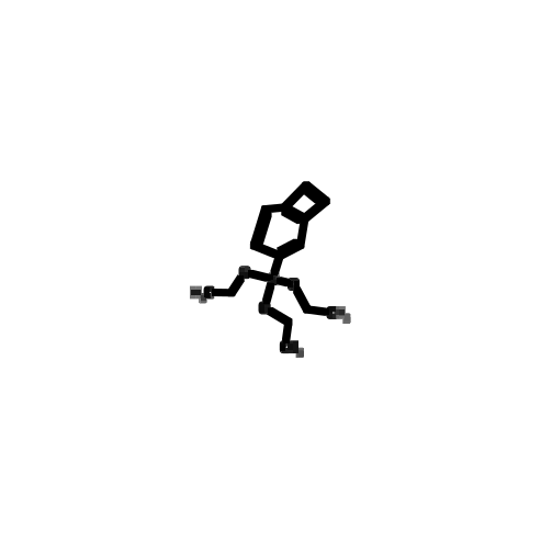 CCO[Si](OCC)(OCC)c1ccc2c(c1)C=C2